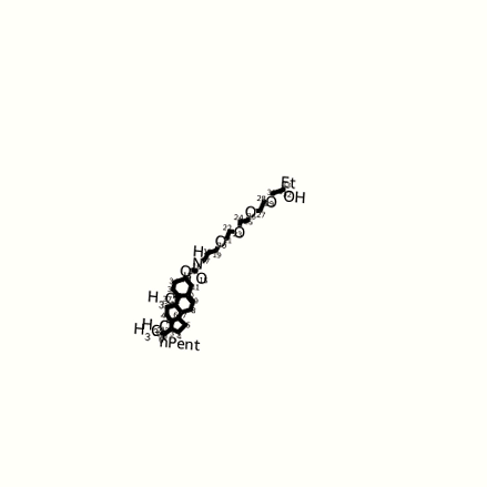 CCCCC[C@@H](C)C1CCC2C3CC=C4C[C@H](OC(=O)NCCCOCCOCCOCCOCC(O)CC)CC[C@@]4(C)C3CC[C@]21C